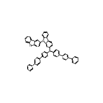 c1ccc(-c2ccc(-c3ccc(N(c4ccc(-c5ccc(-c6ccccc6)cc5)cc4)c4ccc5c6ccccc6n(-c6ccc7oc8ccccc8c7c6)c5c4)cc3)cc2)cc1